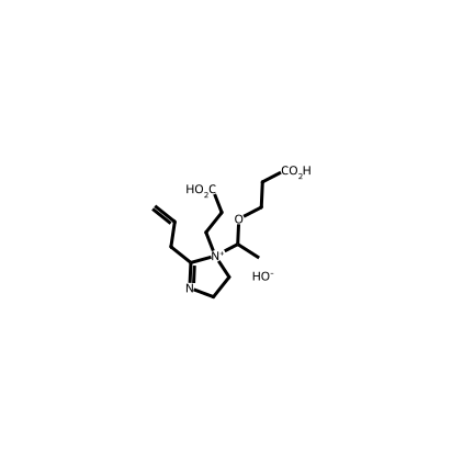 C=CCC1=NCC[N+]1(CCC(=O)O)C(C)OCCC(=O)O.[OH-]